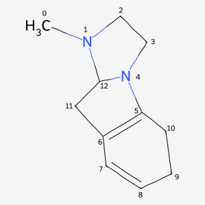 CN1CCN2C3=C(C=CCC3)CC12